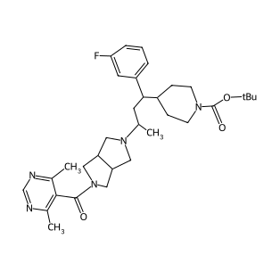 Cc1ncnc(C)c1C(=O)N1CC2CN(C(C)CC(c3cccc(F)c3)C3CCN(C(=O)OC(C)(C)C)CC3)CC2C1